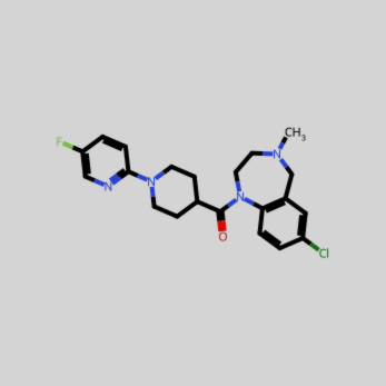 CN1CCN(C(=O)C2CCN(c3ccc(F)cn3)CC2)c2ccc(Cl)cc2C1